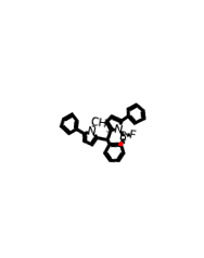 Cn1c(-c2ccccc2)ccc1C(c1ccccc1)c1ccc(-c2ccccc2)n1B(F)F